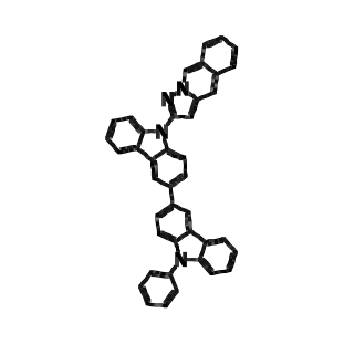 c1ccc(-n2c3ccccc3c3cc(-c4ccc5c(c4)c4ccccc4n5-c4cc5cc6ccccc6cn5n4)ccc32)cc1